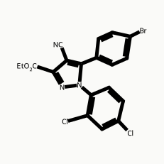 CCOC(=O)c1nn(-c2ccc(Cl)cc2Cl)c(-c2ccc(Br)cc2)c1C#N